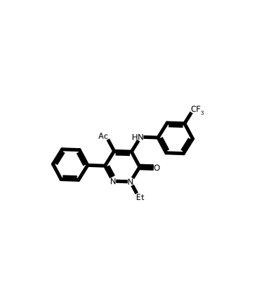 CCn1nc(-c2ccccc2)c(C(C)=O)c(Nc2cccc(C(F)(F)F)c2)c1=O